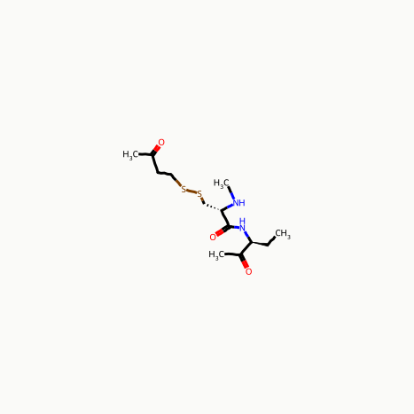 CC[C@H](NC(=O)[C@H](CSSCCC(C)=O)NC)C(C)=O